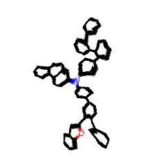 c1ccc(-c2ccc(-c3ccc(N(c4ccc(-c5ccccc5-c5ccccc5-c5ccccc5)cc4)c4ccc5c(ccc6ccccc65)c4)cc3)cc2-c2cc3ccccc3o2)cc1